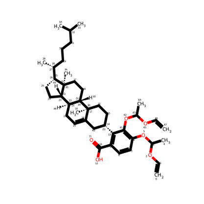 C=COC(C)Oc1ccc(C(=O)O)c([C@H]2CC[C@@]3(C)C(=CC[C@H]4[C@@H]5CC[C@H]([C@H](C)CCCC(C)C)[C@@]5(C)CC[C@@H]43)C2)c1OC(C)OC=C